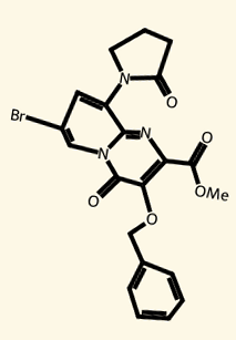 COC(=O)c1nc2c(N3CCCC3=O)cc(Br)cn2c(=O)c1OCc1ccccc1